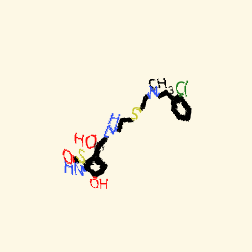 CN(CCSCCCNC[C@H](O)c1ccc(O)c2[nH]c(=O)sc12)CCc1ccccc1Cl